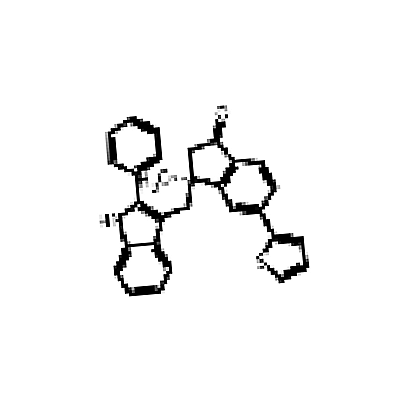 C[C@]1(Cc2c(-c3ccccc3)[nH]c3ccccc23)CC(=O)c2ccc(-c3cccs3)cc21